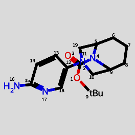 CC(C)(C)OC(=O)N1C2CCCC1CN(c1ccc(N)nc1)C2